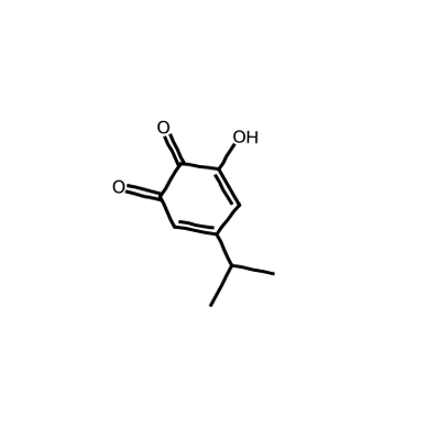 CC(C)C1=CC(=O)C(=O)C(O)=C1